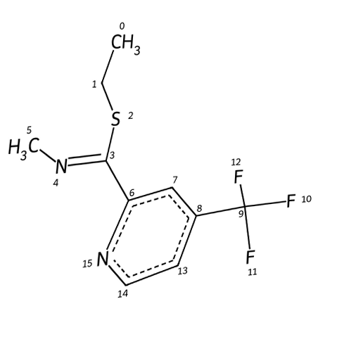 CCS/C(=N\C)c1cc(C(F)(F)F)ccn1